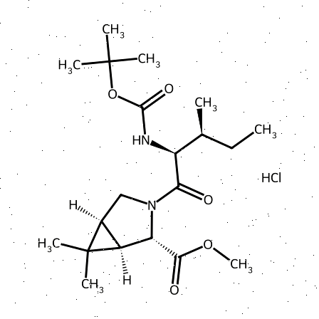 CC[C@H](C)[C@H](NC(=O)OC(C)(C)C)C(=O)N1C[C@H]2[C@@H]([C@H]1C(=O)OC)C2(C)C.Cl